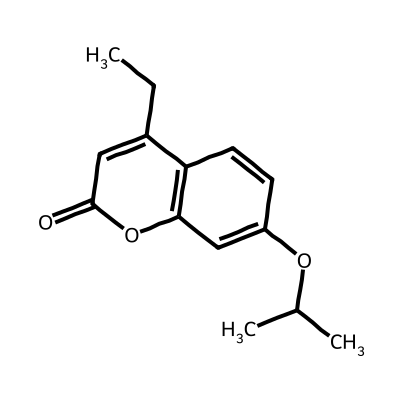 CCc1cc(=O)oc2cc(OC(C)C)ccc12